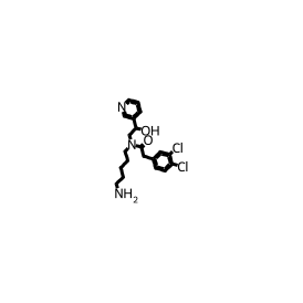 NCCCCCN(CC(O)c1cccnc1)C(=O)Cc1ccc(Cl)c(Cl)c1